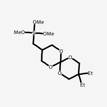 CCC1(CC)COC2(OCC(C[Si](OC)(OC)OC)CO2)OC1